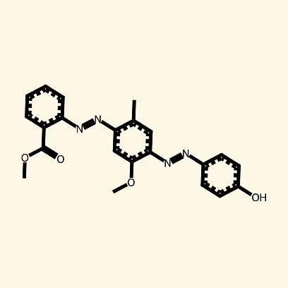 COC(=O)c1ccccc1N=Nc1cc(OC)c(N=Nc2ccc(O)cc2)cc1C